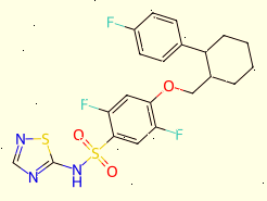 O=S(=O)(Nc1ncns1)c1cc(F)c(OCC2CCCCC2c2ccc(F)cc2)cc1F